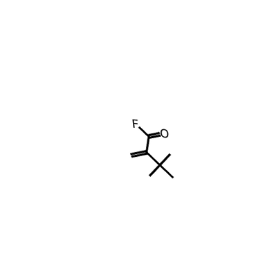 C=C(C(=O)F)C(C)(C)C